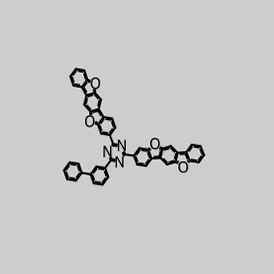 c1ccc(-c2cccc(-c3nc(-c4ccc5c(c4)oc4cc6c(cc45)oc4ccccc46)nc(-c4ccc5c(c4)oc4cc6c(cc45)oc4ccccc46)n3)c2)cc1